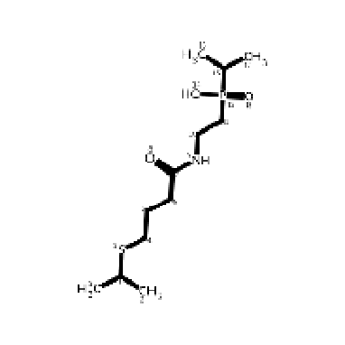 CC(C)SCCCC(=O)NCCP(=O)(O)C(C)C